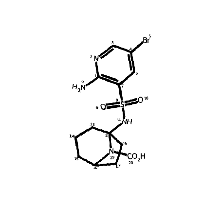 Nc1ncc(Br)cc1S(=O)(=O)NC12CCCC(CC1)N2C(=O)O